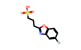 O=S(=O)(O)CCCc1nc2[c]c(Cl)ccc2o1